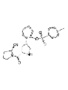 Cc1ccc(S(=O)(=O)Oc2ccccc2[C@@H]2CN[C@H](C(=O)N3CCC[C@H]3C#N)C2)cc1